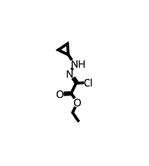 CCOC(=O)/C(Cl)=N/NC1CC1